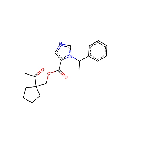 CC(=O)C1(COC(=O)c2cncn2C(C)c2ccccc2)CCCC1